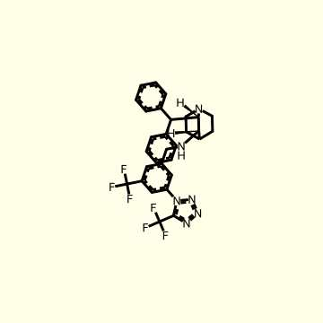 FC(F)(F)c1cc(CN[C@H]2C3CCN(CC3)[C@H]2C(c2ccccc2)c2ccccc2)cc(-n2nnnc2C(F)(F)F)c1